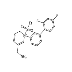 CCS(=O)(=O)[N+]1(c2cccc(-c3ccc(F)cc3F)c2)C=C(CN)C=CC1